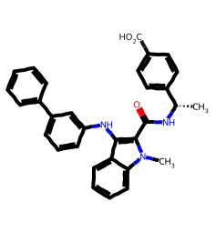 C[C@H](NC(=O)c1c(Nc2cccc(-c3ccccc3)c2)c2ccccc2n1C)c1ccc(C(=O)O)cc1